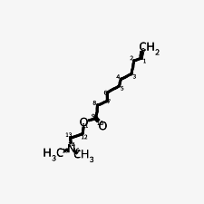 C=CCCCCCCCC(=O)OCCN(C)C